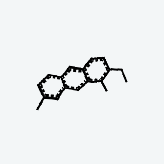 CCc1ccc2cc3ccc(C)cc3cc2c1C